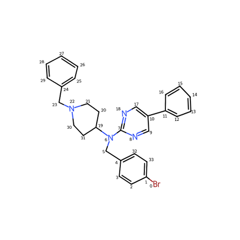 Brc1ccc(CN(c2ncc(-c3ccccc3)cn2)C2CCN(Cc3ccccc3)CC2)cc1